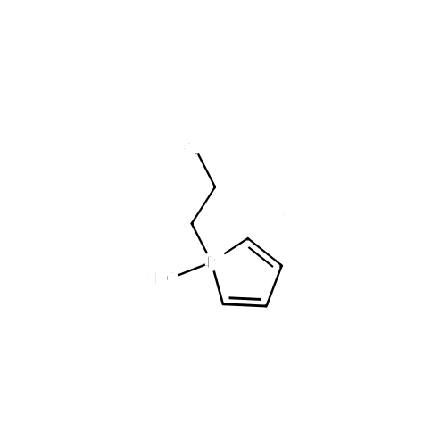 C[P+]1(CCCl)C=CC=C1.[Cl-]